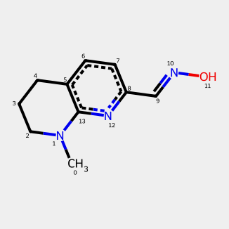 CN1CCCc2ccc(/C=N/O)nc21